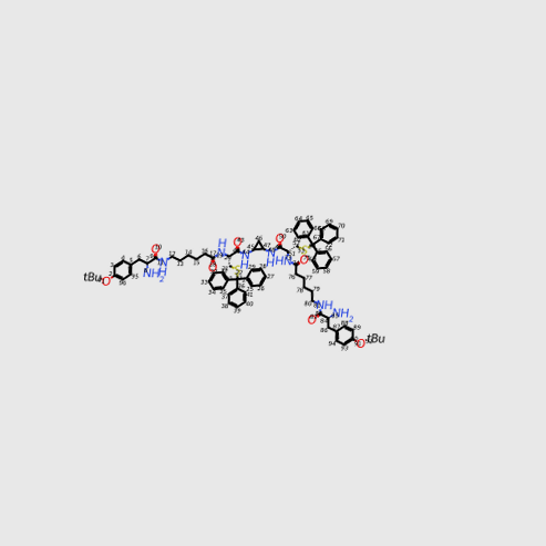 CC(C)(C)Oc1ccc(C[C@H](N)C(=O)NCCCCCC(=O)N[C@@H](CSC(c2ccccc2)(c2ccccc2)c2ccccc2)C(=O)NC2CC2NC(=O)[C@H](CSC(c2ccccc2)(c2ccccc2)c2ccccc2)NC(=O)CCCCCNC(=O)[C@@H](N)Cc2ccc(OC(C)(C)C)cc2)cc1